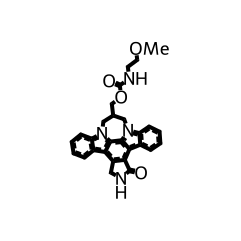 COCCNC(=O)OCC1Cn2c3ccccc3c3c4c(c5c6ccccc6n(c5c32)C1)C(=O)NC4